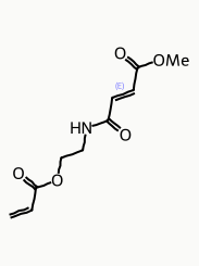 C=CC(=O)OCCNC(=O)/C=C/C(=O)OC